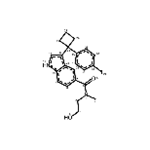 CN(CCO)C(=O)c1ccc2[nH]cc(C3(c4ccc(I)cc4)CCC3)c2c1